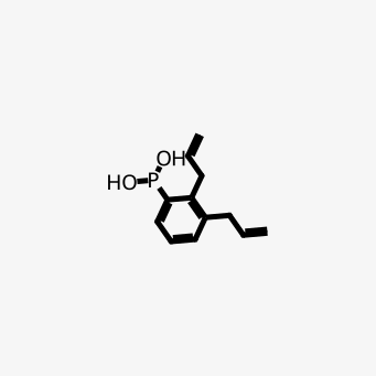 C=CCc1cccc(P(O)O)c1CC=C